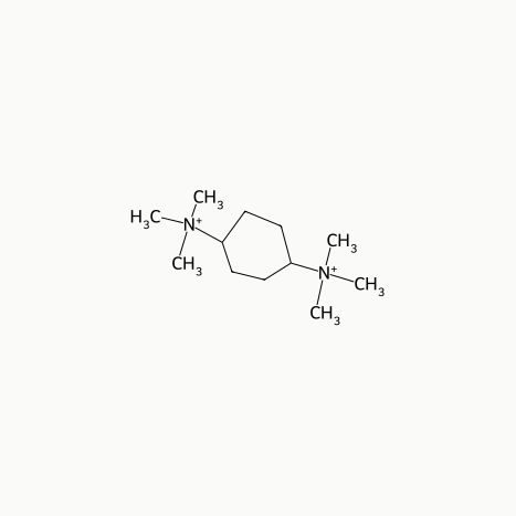 C[N+](C)(C)C1CCC([N+](C)(C)C)CC1